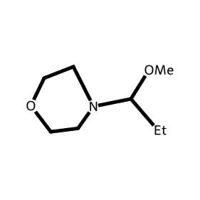 [CH2]CC(OC)N1CCOCC1